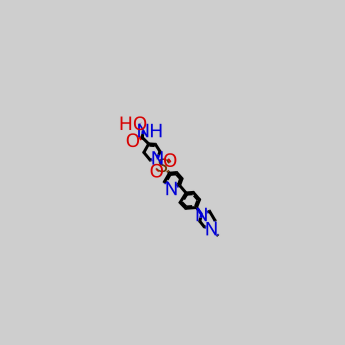 CN1CCN(c2ccc(-c3ccc(S(=O)(=O)N4CC=C(C(=O)NO)CC4)cn3)cc2)CC1